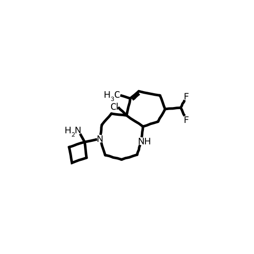 CC1=CCC(C(F)F)CC2NCCCN(C3(N)CCC3)CCC12Cl